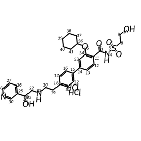 Cl.Cl.O=C(NS(=O)(=O)CCO)c1ccc(-c2ccc(CCNC[C@@H](O)c3cccnc3)cc2)cc1OC1CCCCC1